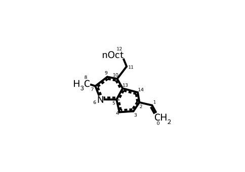 C=Cc1ccc2nc(C)cc(CCCCCCCCC)c2c1